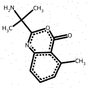 Cc1cccc2nc(C(C)(C)N)oc(=O)c12